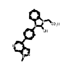 Cn1ncc2c(-c3ccc(N4c5ccccc5N(CC(=O)O)C4O)cc3)cncc21